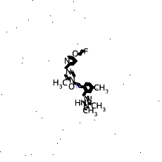 CC1=NN(Cc2cc(C)ccc2/C=C/C(=O)N2CCN(Cc3ccc(OCCF)cn3)C[C@H]2C)NN1C